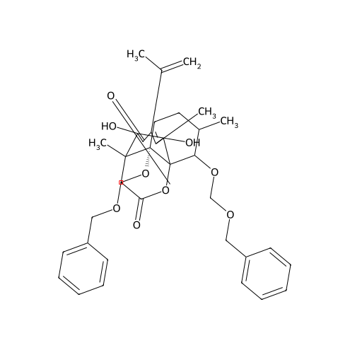 C=C(C)C1=C(C)C2(O)C(O)(C1=O)C1(C)CC(=O)OC23C(OCOCc2ccccc2)C(C)CC[C@]13OCOCc1ccccc1